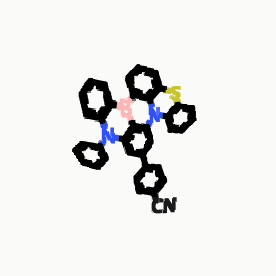 N#Cc1ccc(-c2cc3c4c(c2)N2c5ccccc5Sc5cccc(c52)B4c2ccccc2N3c2ccccc2)cc1